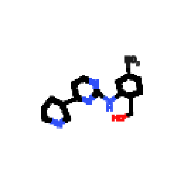 O=[N+]([O-])c1ccc(CO)c(Nc2nccc(-c3cccnc3)n2)c1